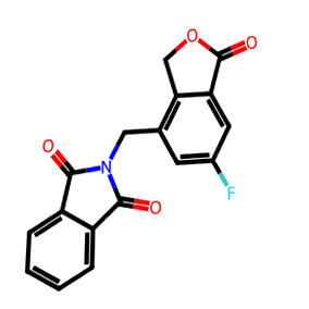 O=C1OCc2c(CN3C(=O)c4ccccc4C3=O)cc(F)cc21